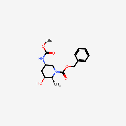 C[C@H]1[C@@H](O)C[C@@H](NC(=O)OC(C)(C)C)CN1C(=O)OCc1ccccc1